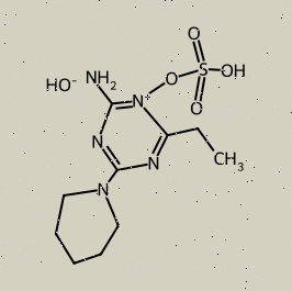 CCc1nc(N2CCCCC2)nc(N)[n+]1OS(=O)(=O)O.[OH-]